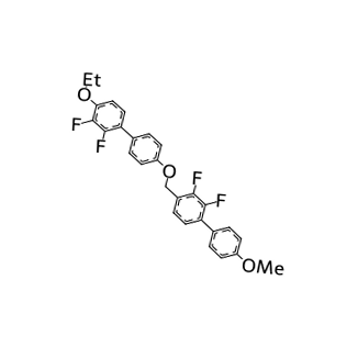 CCOc1ccc(-c2ccc(OCc3ccc(-c4ccc(OC)cc4)c(F)c3F)cc2)c(F)c1F